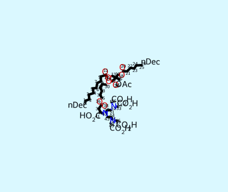 CCCCCCCCCCCCCCCCCCCC(=O)OCC(COC(C)=O)(COC(=O)CCCCCCCCCCCCCCC)C(=O)OCCCCCCOC(=O)CC(C(=O)O)N(CCN(CC(=O)O)CC(=O)O)CCN(CC(=O)O)CC(=O)O